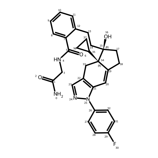 NC(=O)CNC(=O)c1ccccc1CC[C@]1(O)CCC2=Cc3c(cnn3-c3ccc(F)cc3)C[C@@]21C1CC1